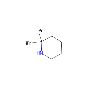 CC(C)C1(C(C)C)CCCCN1